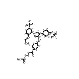 CCOc1ccc(C(F)(F)F)cc1-n1cc(-c2ccc(OC(F)(F)F)cc2)c(Oc2ccc(C(=O)NCCC(=O)O)cc2)n1